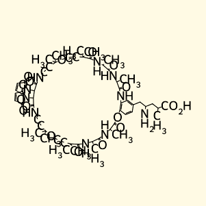 CC(CC(N)Cc1ccc2c(c1)NC(=O)C(C)NC(=O)C(C)NC(=O)C(C)(C)CCOC(C)(C)CCNC(=O)C(N1C(=O)C=CC1=O)C(N1C(=O)C=CC1=O)C(=O)NCCC(C)(C)OCCC(C)(C)C(=O)NC(C)C(=O)NC(C)C(=O)O2)C(=O)O